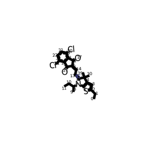 CCc1cc2c(s1)N(C(C)CC)/C(=C/C=C1C(=O)c3c(Cl)ccc(Cl)c3C1=O)C2(C)C